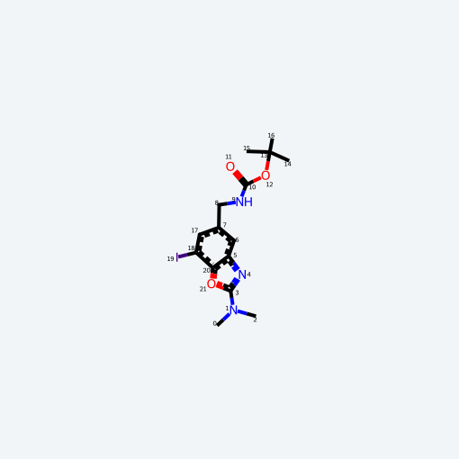 CN(C)c1nc2cc(CNC(=O)OC(C)(C)C)cc(I)c2o1